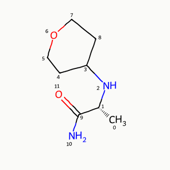 C[C@@H](NC1CCOCC1)C(N)=O